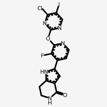 O=C1NCCc2[nH]c(-c3ccnc(Oc4ncc(I)c(Cl)n4)c3F)cc21